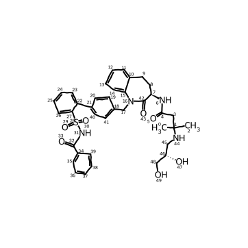 CC(C)(CC(=O)N[C@@H]1CCc2ccccc2N(Cc2ccc(-c3ccccc3S(=O)(=O)NC(=O)c3ccccc3)cc2)C1=O)NC[C@H](O)CO